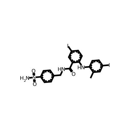 Cc1cc(I)ccc1Nc1ccc(I)cc1C(=O)NCc1ccc(S(N)(=O)=O)cc1